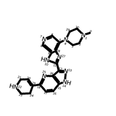 CN1CCN(c2cncc3[nH]c(-c4n[nH]c5ccc(C6=CCNCC6)nc45)nc23)CC1